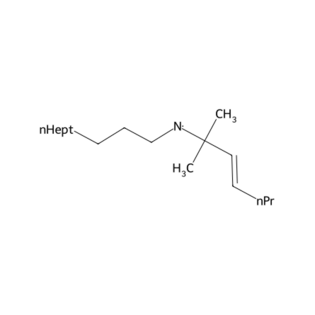 CCC/C=C/C(C)(C)[N]CCCCCCCCCC